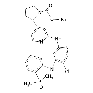 CC(C)(C)OC(=O)N1CCCC1c1ccnc(Nc2cc(Nc3ccccc3P(C)(C)=O)c(Cl)cn2)c1